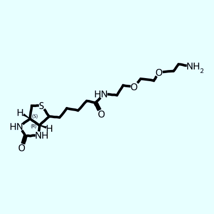 NCCOCCOCCNC(=O)CCCCC1SC[C@H]2NC(=O)N[C@@H]12